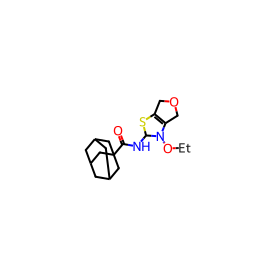 CCON1C2=C(COC2)SC1NC(=O)C12CC3CC(CC(C3)C1)C2